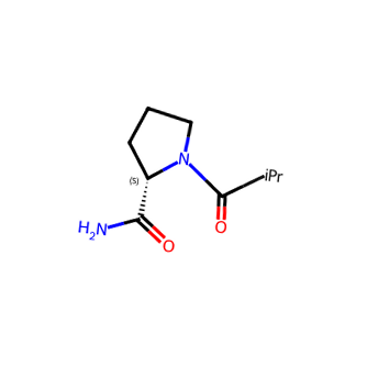 CC(C)C(=O)N1CCC[C@H]1C(N)=O